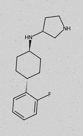 Fc1ccccc1[C@H]1CC[C@H](NC2CCNC2)CC1